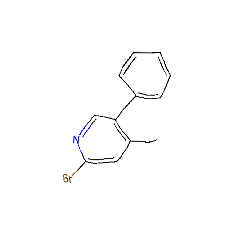 Cc1cc(Br)ncc1-c1ccccc1